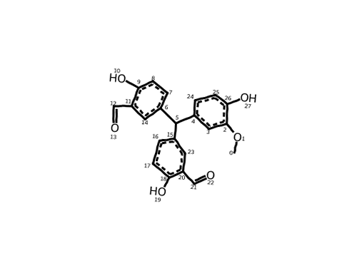 COc1cc(C(c2ccc(O)c(C=O)c2)c2ccc(O)c(C=O)c2)ccc1O